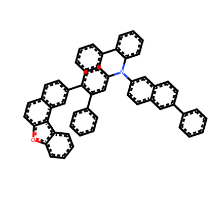 c1ccc(-c2ccc3cc(N(c4ccc(-c5ccc6ccc7oc8ccccc8c7c6c5)c(-c5ccccc5)c4)c4ccccc4-c4ccccc4)ccc3c2)cc1